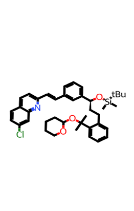 CC(C)(OC1CCCCO1)c1ccccc1CC[C@H](O[Si](C)(C)C(C)(C)C)c1cccc(C=Cc2ccc3ccc(Cl)cc3n2)c1